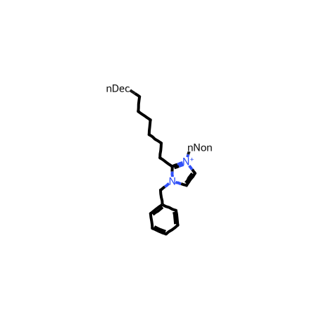 CCCCCCCCCCCCCCCCc1n(Cc2ccccc2)cc[n+]1CCCCCCCCC